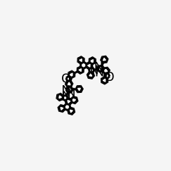 c1ccc(-c2nc(-n3c4ccccc4c4c5c6ccccc6c6ccccc6c5c5ccccc5c43)nc3cc4oc5ccc(-c6ccc7c(c6)c6ccccc6c6c8ccccc8c8c(c9ccccc9n8-c8nc(-c9ccccc9)c9ccc%10oc%11ccccc%11c%10c9n8)c76)cc5c4cc23)cc1